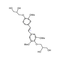 COc1cc(/C=C/c2cc(OC)c(OCC(O)CO)c(OC)c2)ccc1OCC(O)CO